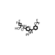 CC(C)n1nc(-c2cccc(OC(F)F)c2)c2ncc(C(=O)NC3(CO)CC(F)(F)C3)cc21